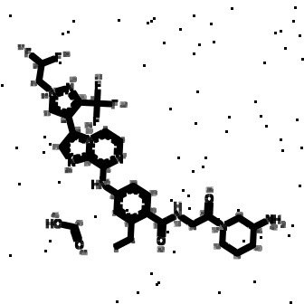 CCc1cc(Nc2nccn3c(-c4cn(CC(F)F)nc4C(F)(F)F)cnc23)ccc1C(=O)NCC(=O)N1CCCC(N)C1.O=CO